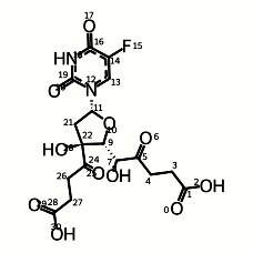 O=C(O)CCC(=O)C(O)[C@H]1O[C@@H](n2cc(F)c(=O)[nH]c2=O)C[C@@]1(O)C(=O)CCC(=O)O